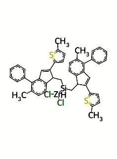 Cc1ccc(C2=Cc3c(ccc(C)c3-c3ccccc3)C2C[SiH](CC2C(c3ccc(C)s3)=Cc3c2ccc(C)c3-c2ccccc2)[Zr]([Cl])[Cl])s1